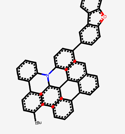 CC(C)(C)c1ccc(-c2ccccc2N(c2ccc(-c3ccc4oc5ccccc5c4c3)cc2)c2ccccc2-c2cccc3cccc(-c4ccccc4)c23)cc1